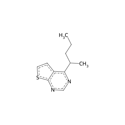 CCCC(C)c1ncnc2sccc12